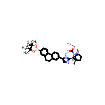 CC(C)(C)OC(=O)N1[C@H]2CC[C@@H](C2)[C@H]1c1ncc(-c2ccc3c(c2)CCc2cc(B4OC(C)(C)C(C)(C)O4)ccc2-3)[nH]1